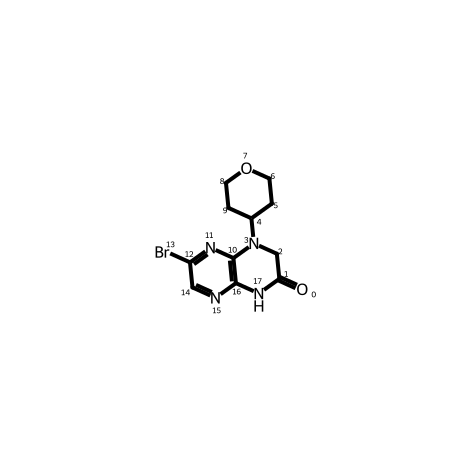 O=C1CN(C2CCOCC2)c2nc(Br)cnc2N1